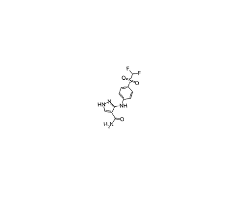 NC(=O)c1c[nH]nc1Nc1ccc(S(=O)(=O)C(F)F)cc1